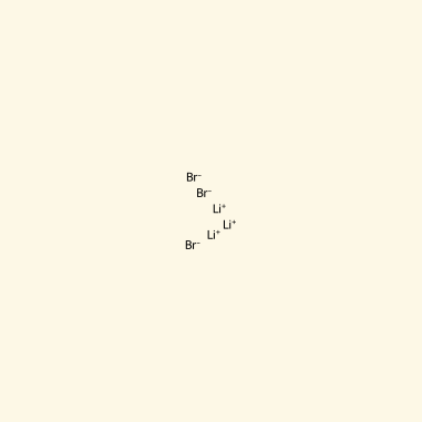 [Br-].[Br-].[Br-].[Li+].[Li+].[Li+]